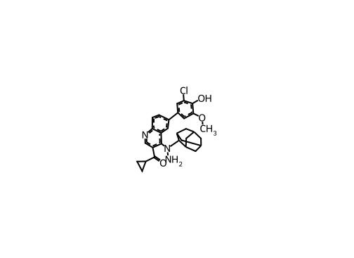 COc1cc(-c2ccc3ncc(C(=O)C4CC4)c(N(N)C4C5CC6CC(C5)CC4C6)c3c2)cc(Cl)c1O